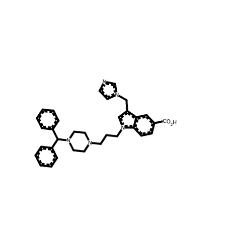 O=C(O)c1ccc2c(c1)c(Cn1ccnc1)cn2CCCN1CCN(C(c2ccccc2)c2ccccc2)CC1